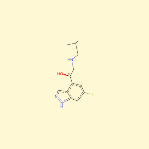 CC(C)CNC[C@H](O)c1cc(F)cc2[nH]ncc12